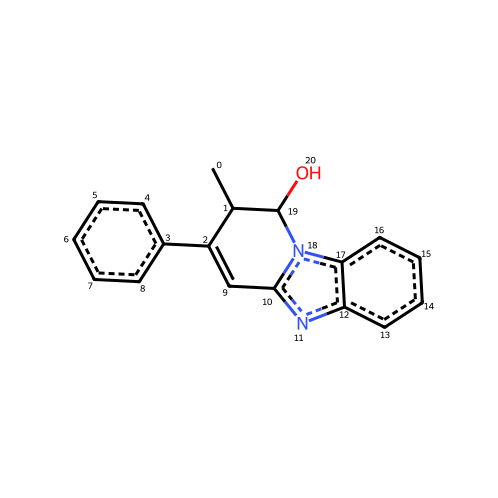 CC1C(c2ccccc2)=Cc2nc3ccccc3n2C1O